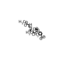 COC(=O)CCNC(=O)[C@@H]1OP(=O)(Oc2ccc([N+](=O)[O-])cc2)OCC1(C)C